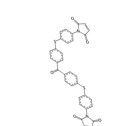 O=C(c1ccc(Sc2ccc(N3C(=O)C=CC3=O)cc2)cc1)c1ccc(Sc2ccc(N3C(=O)C=CC3=O)cc2)cc1